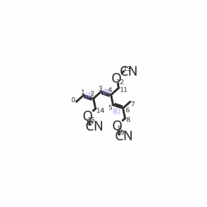 C/C=C(/C=C(\C=C(/C)COC#N)COC#N)COC#N